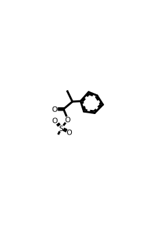 CC(C(=O)OS(C)(=O)=O)c1ccccc1